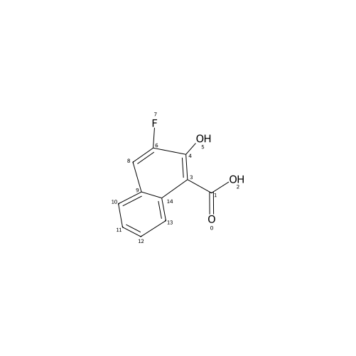 O=C(O)c1c(O)c(F)cc2ccccc12